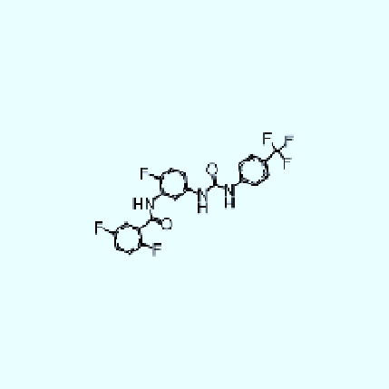 O=C(Nc1ccc(C(F)(F)F)cc1)Nc1ccc(F)c(NC(=O)c2cc(F)ccc2F)c1